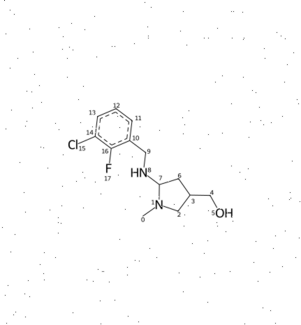 CN1CC(CO)CC1NCc1cccc(Cl)c1F